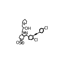 CS(=O)(=O)N1CCc2c(c(-c3ccc(Cl)c(C#Cc4ccc(Cl)cc4)c3)nn2CC(O)CN2CCCC2)C1